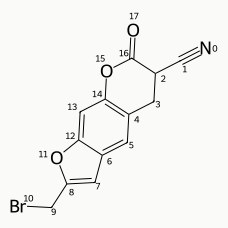 N#CC1Cc2cc3cc(CBr)oc3cc2OC1=O